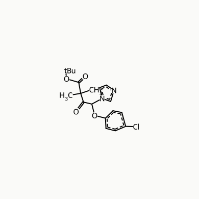 CC(C)(C)OC(=O)C(C)(C)C(=O)C(Oc1ccc(Cl)cc1)n1ccnc1